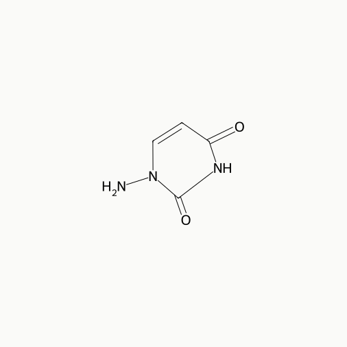 Nn1ccc(=O)[nH]c1=O